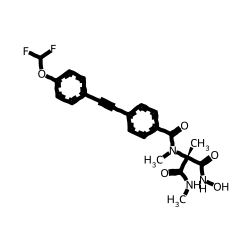 CNC(=O)[C@@](C)(C(=O)NO)N(C)C(=O)c1ccc(C#Cc2ccc(OC(F)F)cc2)cc1